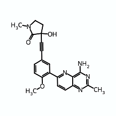 COc1ccc(C#CC2(O)CCN(C)C2=O)cc1-c1ccc2nc(C)nc(N)c2n1